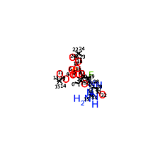 C=C[C@]1(COP(=O)(OCOC(=O)C(C)(C)C)OCOC(=O)C(C)(C)C)OC(n2cnc3c(=O)[nH]c(N)nc32)[C@H](F)[C@@H]1O